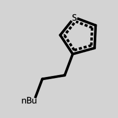 [CH2]CCCCCc1ccsc1